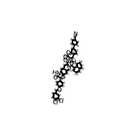 N#Cc1ccc(-c2ccc(CC(NC(=O)[C@@H]3Cc4cc5c(cc4CN3C(=O)c3cccc4ccccc34)O[C@@H](c3ccc(OCc4ccc(Cl)c(Cl)c4)cc3)C(=O)N5)C(=O)O)cc2)cc1